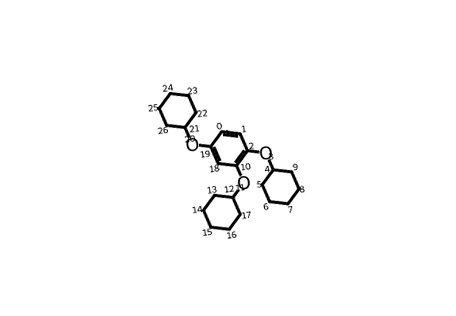 [c]1cc(OC2CCCCC2)c(OC2CCCCC2)cc1OC1CCCCC1